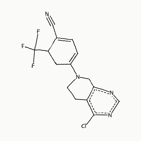 N#CC1=CC=C(N2CCc3c(Cl)ncnc3C2)CC1C(F)(F)F